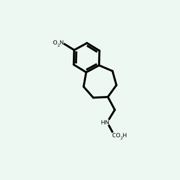 O=C(O)NCC1CCc2ccc([N+](=O)[O-])cc2CC1